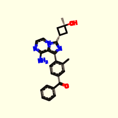 Cc1cc(C(=O)c2ccccc2)ccc1-c1nc([C@H]2C[C@](C)(O)C2)n2ccnc(N)c12